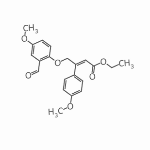 CCOC(=O)C=C(COc1ccc(OC)cc1C=O)c1ccc(OC)cc1